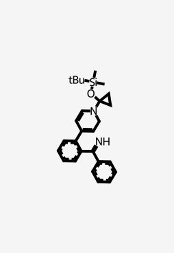 CC(C)(C)[Si](C)(C)OC1(N2C=CC(c3ccccc3C(=N)c3ccccc3)=CC2)CC1